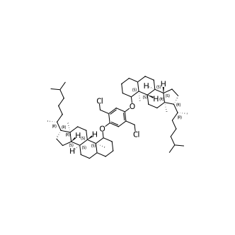 CC(C)CCC[C@@H](C)[C@H]1CC[C@H]2[C@@H]3CCC4CCCC(Oc5cc(CCl)c(OC6CCCC7CC[C@@H]8[C@H](CC[C@]9(C)[C@@H]([C@H](C)CCCC(C)C)CC[C@@H]89)[C@]76C)cc5CCl)[C@]4(C)[C@H]3CC[C@]12C